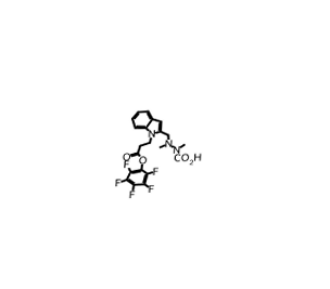 CN(Cc1cc2ccccc2n1CCC(=O)Oc1c(F)c(F)c(F)c(F)c1F)N(C)C(=O)O